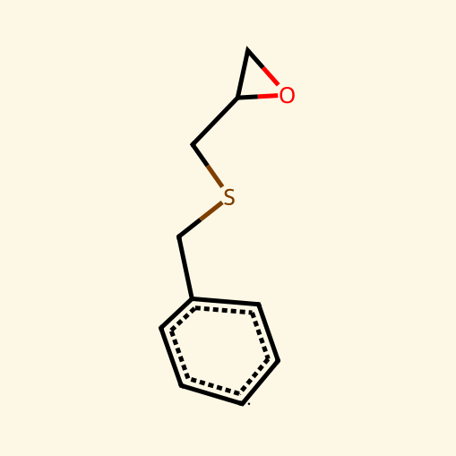 [c]1ccc(CSCC2CO2)cc1